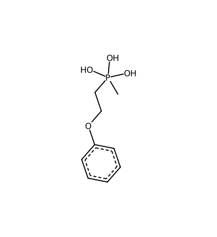 CP(O)(O)(O)CCOc1ccccc1